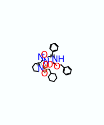 O=C(N[C@H](c1ccccc1)c1nc([C@@H]2CCCCN2S(=O)(=O)CC2CCCCC2)no1)OCc1ccccc1